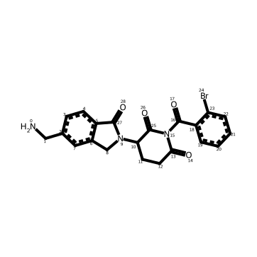 NCc1ccc2c(c1)CN(C1CCC(=O)N(C(=O)c3ccccc3Br)C1=O)C2=O